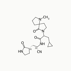 CN1CCCC12CCN(C(CC1CC1)C(=O)N[C@H](C#N)C[C@@H]1CCNC1=O)C2=O